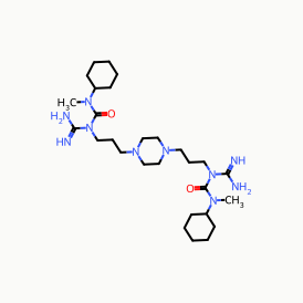 CN(C(=O)N(CCCN1CCN(CCCN(C(=N)N)C(=O)N(C)C2CCCCC2)CC1)C(=N)N)C1CCCCC1